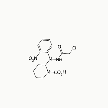 O=C(CCl)NN(c1ccccc1[N+](=O)[O-])C1CCCCN1C(=O)O